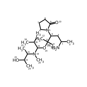 CC(N)CC(N1CCCC1=O)C(C)(C)OC(C(C)C)N(C)C(C)C(C)O